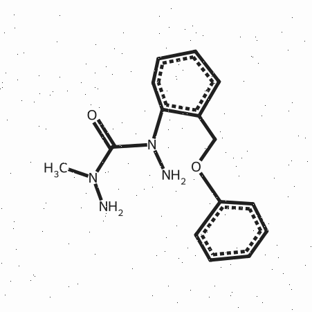 CN(N)C(=O)N(N)c1ccccc1COc1ccccc1